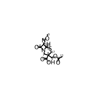 CON=C1C(=O)N2CC(COC(C)=O)(C(=O)O)CS[C@H]12